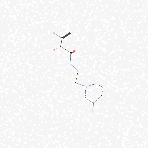 C=C(C)[C@H](O)C(=O)NCCN1CCCC(Cl)C1